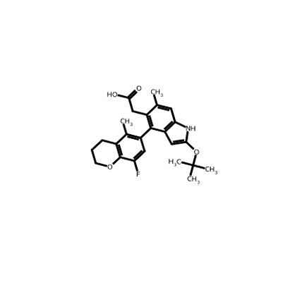 Cc1cc2[nH]c(OC(C)(C)C)cc2c(-c2cc(F)c3c(c2C)CCCO3)c1CC(=O)O